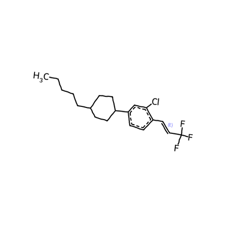 CCCCCC1CCC(c2ccc(/C=C/C(F)(F)F)c(Cl)c2)CC1